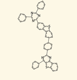 c1ccc(-c2nc(-c3ccccc3)nc(-c3ccc4c(c3)sc3ccc(-c5ccc(-c6nc(-c7ccccc7)c7sc8ccccc8c7n6)cc5)cc34)n2)cc1